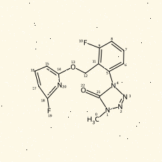 Cn1nnn(-c2cccc(F)c2COc2cccc(F)n2)c1=O